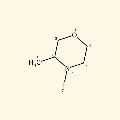 CC1COCCN1I